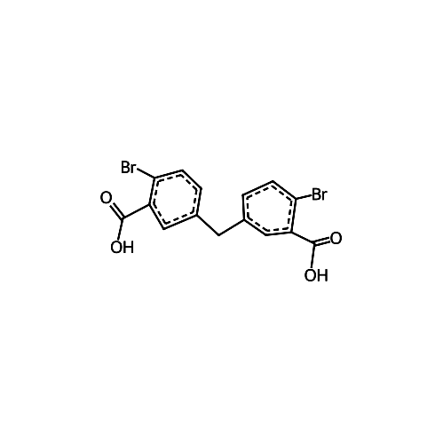 O=C(O)c1cc(Cc2ccc(Br)c(C(=O)O)c2)ccc1Br